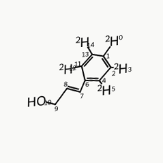 [2H]c1c([2H])c([2H])c(C=CCO)c([2H])c1[2H]